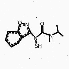 CC(C)NC(=O)N(S)c1noc2ccccc12